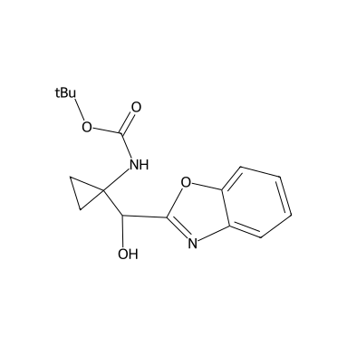 CC(C)(C)OC(=O)NC1(C(O)c2nc3ccccc3o2)CC1